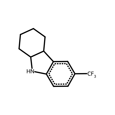 FC(F)(F)c1ccc2c(c1)C1CCCCC1N2